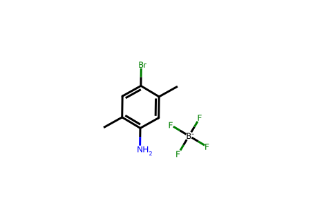 Cc1cc(Br)c(C)cc1N.F[B-](F)(F)F